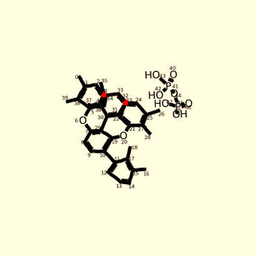 Cc1cccc(Oc2ccc(-c3cccc(C)c3C)c(Oc3cccc(C)c3C)c2-c2cccc(C)c2C)c1C.O=P(O)(O)OP(=O)(O)O